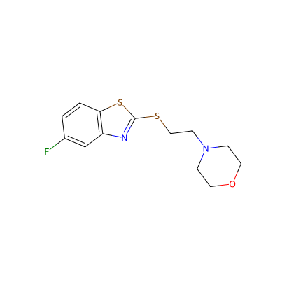 Fc1ccc2sc(SCCN3CCOCC3)nc2c1